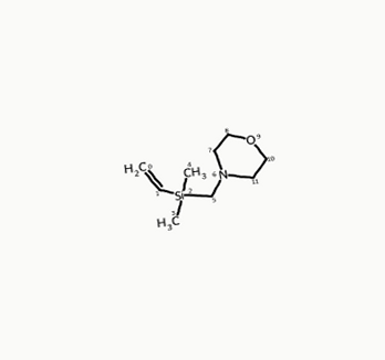 C=C[Si](C)(C)CN1CCOCC1